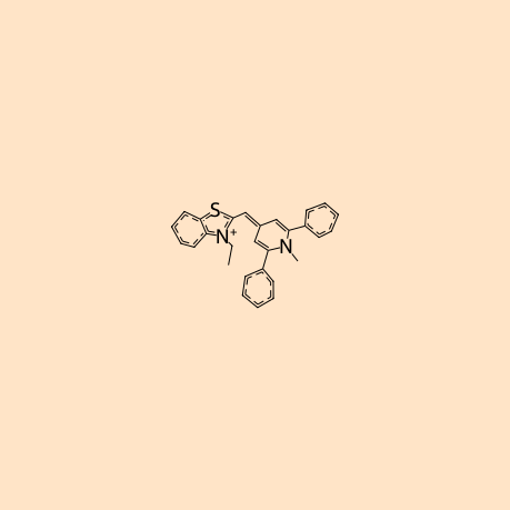 CC[n+]1c(C=C2C=C(c3ccccc3)N(C)C(c3ccccc3)=C2)sc2ccccc21